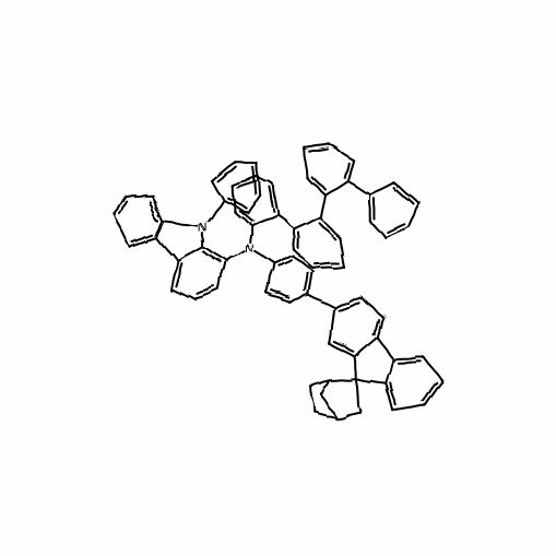 c1ccc(-c2ccccc2-c2ccccc2-c2ccccc2N(c2ccc(-c3ccc4c(c3)C3(CC5CCC3C5)c3ccccc3-4)cc2)c2cccc3c4ccccc4n(-c4ccccc4)c23)cc1